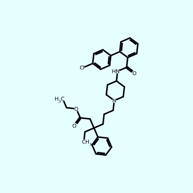 CCOC(=O)CC(CC)(CCCN1CCC(NC(=O)c2ccccc2-c2ccc(Cl)cc2)CC1)c1ccccc1